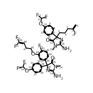 C=C(F)CCCC1(c2ccc(OC(F)F)cc2)N=C(N)N(C)C1=O.CN1C(=O)C(c2ccc(OC(F)F)cc2)(c2ccc(F)c(OCCC=C(F)F)c2)N=C1N